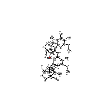 CCCCCCCCCC[C@@]1(O[C@@H]2[C@H]3OC[C@@H]2O[C@@H](O[C@@H]2[C@@H](O)[C@H](O[C@@H]4[C@H]5OC[C@@H]4O[C@@H](O)[C@H]5O)O[C@H](CO)[C@H]2O)[C@H]3O)O[C@H](CO)[C@H](O)[C@H](O)[C@H]1O